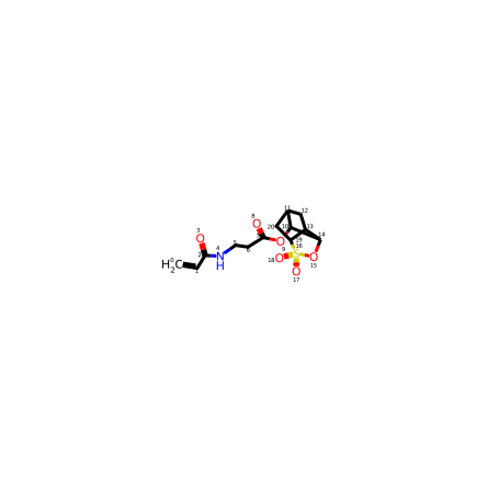 C=CC(=O)NCCC(=O)OC1C2CC3C1OS(=O)(=O)C3C2